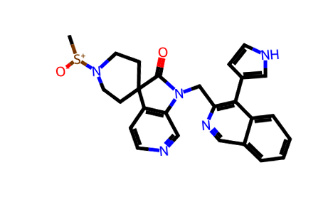 C[S+]([O-])N1CCC2(CC1)C(=O)N(Cc1ncc3ccccc3c1-c1cc[nH]c1)c1cnccc12